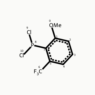 COc1cccc(C(F)(F)F)c1P(Cl)Cl